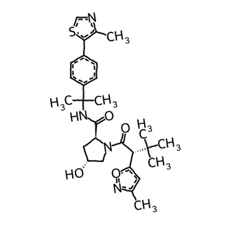 Cc1cc([C@H](C(=O)N2C[C@H](O)C[C@H]2C(=O)NC(C)(C)c2ccc(-c3scnc3C)cc2)C(C)(C)C)on1